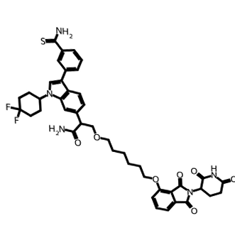 NC(=O)C(COCCCCCCOc1cccc2c1C(=O)N(C1CCC(=O)NC1=O)C2=O)c1ccc2c(-c3cccc(C(N)=S)c3)cn(C3CCC(F)(F)CC3)c2c1